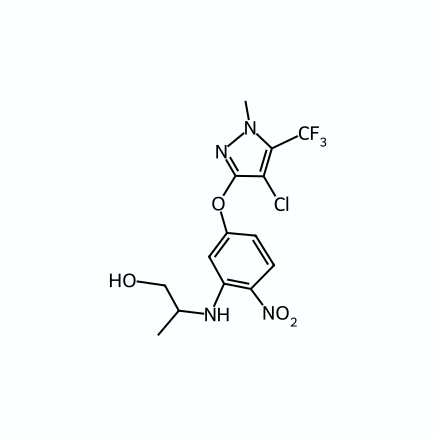 CC(CO)Nc1cc(Oc2nn(C)c(C(F)(F)F)c2Cl)ccc1[N+](=O)[O-]